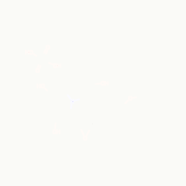 C1CO1.C=CCOCC=C.O=S(=O)(O)O.OCCN(CCO)CCO